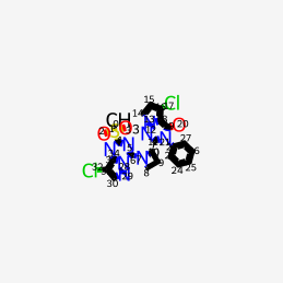 CS(=O)(=O)c1nc(N2CC[C@H]2c2nn3ccc(Cl)c3c(=O)n2-c2ccccc2)n2ncc(Cl)c2n1